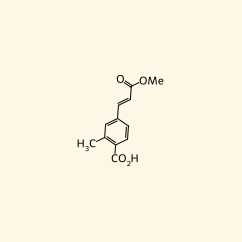 COC(=O)C=Cc1ccc(C(=O)O)c(C)c1